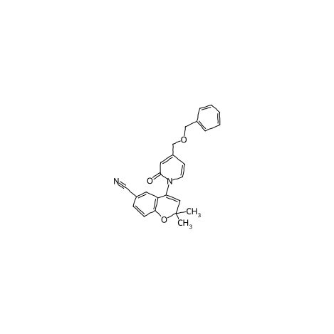 CC1(C)C=C(n2ccc(COCc3ccccc3)cc2=O)c2cc(C#N)ccc2O1